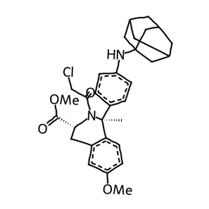 COC(=O)[C@H]1Cc2cc(OC)ccc2[C@](C)(c2ccc(NC34CC5CC(CC(C5)C3)C4)cc2)N1C(=O)CCl